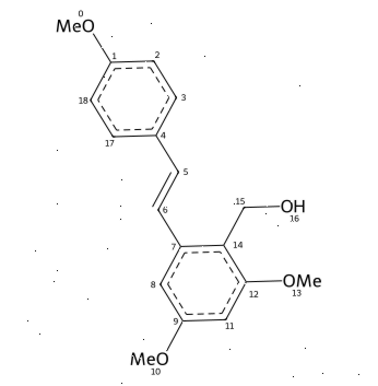 COc1ccc(/C=C/c2cc(OC)cc(OC)c2CO)cc1